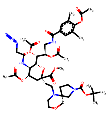 COC(=O)[C@@]1(CCN2CCOC[C@@]23CCN(C(=O)OC(C)(C)C)C3)C[C@H](OC(C)=O)[C@@H](NC(=O)CN=[N+]=[N-])[C@H]([C@H](OC(C)=O)[C@@H](CNC(=O)c2cc(C)c(OC(C)=O)c(C)c2)OC(C)=O)O1